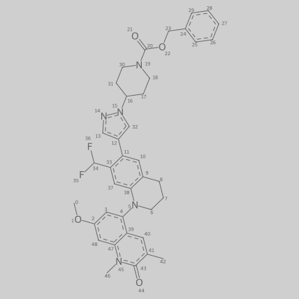 COc1cc(N2CCCc3cc(-c4cnn(C5CCN(C(=O)OCc6ccccc6)CC5)c4)c(C(F)F)cc32)c2cc(C)c(=O)n(C)c2c1